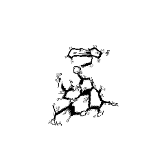 C[C@H](O)C1COc2c(Cl)c(Br)c(F)c3nc(OC[C@@]45CCCN4C[C@H](F)C5)nc(c23)N1CC(F)F